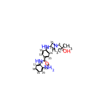 CC(C)(O)CN1CC(Nc2ccc(C(=O)Nc3ccccc3N)cc2)C1